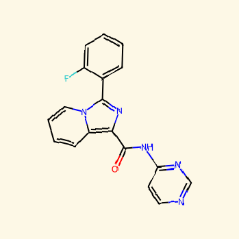 O=C(Nc1ccncn1)c1nc(-c2ccccc2F)n2ccccc12